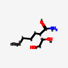 CCCCCCCCCCCC(N)=O.OCCO